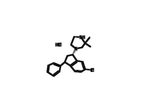 CC1(C)CN([C@H]2CC(c3ccccc3)c3ccc(Cl)cc32)CCN1.Cl